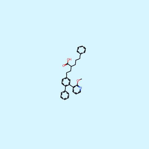 COc1ncccc1-c1cc(CCC(CCCc2ccccc2)C(=O)O)ccc1-c1ccccc1